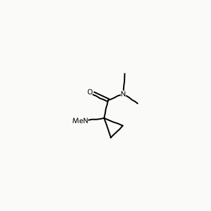 CNC1(C(=O)N(C)C)CC1